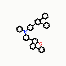 c1ccc(-c2ccc(-c3ccc(N(c4ccccc4)c4cccc(-c5ccc6c7c(cccc57)-c5ccccc5O6)c4)cc3)cc2-c2ccccc2)cc1